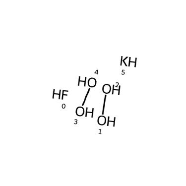 F.OO.OO.[KH]